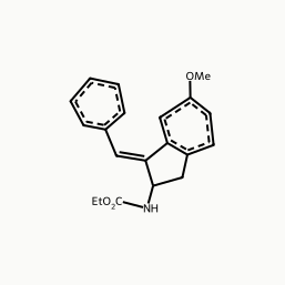 CCOC(=O)NC1Cc2ccc(OC)cc2C1=Cc1ccccc1